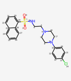 O=S(=O)(NCCN1CCN(c2ccc(Cl)cc2)CC1)c1cccc2ccccc12